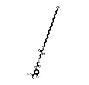 CCC=CCC=CCC=CCC=CCC=CCC=CCSCC(=O)NCCSSCC(=O)Nc1ccc(O)c(C(=O)O)c1